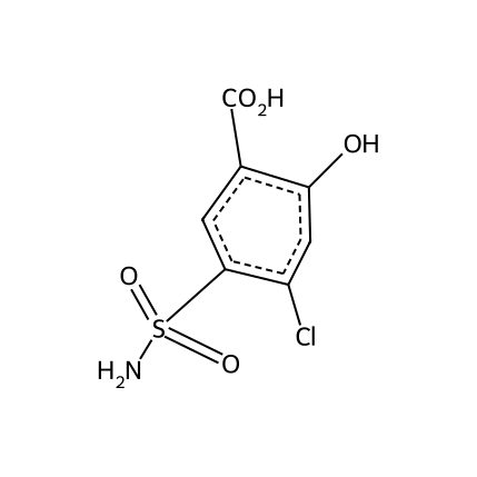 NS(=O)(=O)c1cc(C(=O)O)c(O)cc1Cl